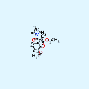 CCOC(=O)C(C)(C(=O)N1CCCC1)c1cccc(OC)c1